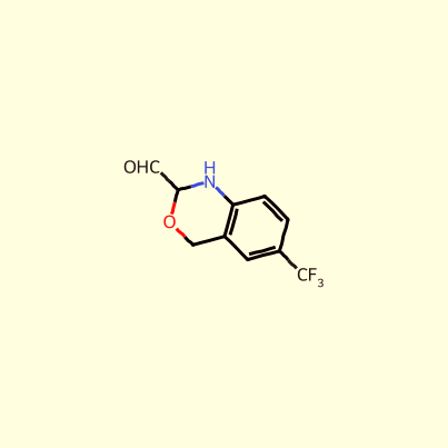 O=CC1Nc2ccc(C(F)(F)F)cc2CO1